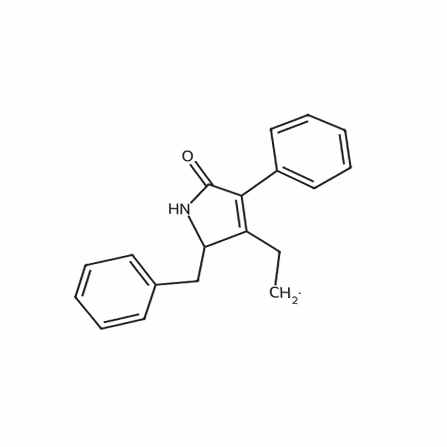 [CH2]CC1=C(c2ccccc2)C(=O)NC1Cc1ccccc1